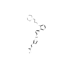 O=C(/C=C/c1ccn(S(=O)(=O)c2ccc(-c3ccccc3OCCCN3CCOCC3)s2)c1)NO